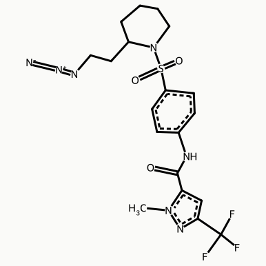 Cn1nc(C(F)(F)F)cc1C(=O)Nc1ccc(S(=O)(=O)N2CCCCC2CCN=[N+]=[N-])cc1